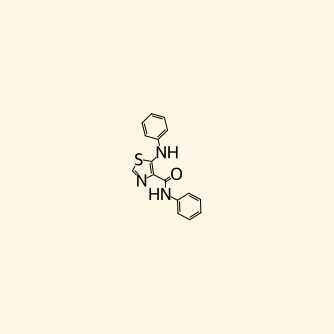 O=C(Nc1ccccc1)c1ncsc1Nc1ccccc1